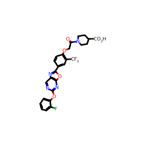 O=C(O)C1CCN(C(=O)COc2ccc(-c3nc4cnc(Oc5ccccc5F)nc4o3)cc2C(F)(F)F)CC1